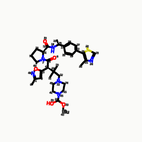 Cc1cc([C@@H](C(=O)N2CCC[C@H]2C(=O)N[C@@H](C)c2ccc(-c3scnc3C)cc2)C(C)(C)CN2CCN(C(O)OC(C)(C)C)CC2)on1